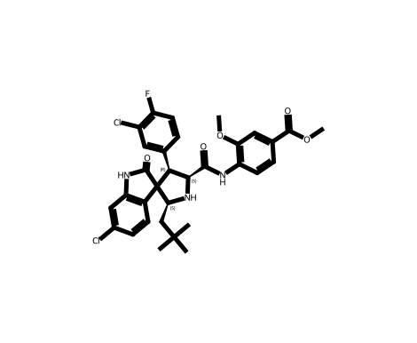 COC(=O)c1ccc(NC(=O)[C@H]2N[C@@H](CC(C)(C)C)C3(C(=O)Nc4cc(Cl)ccc43)[C@H]2c2ccc(F)c(Cl)c2)c(OC)c1